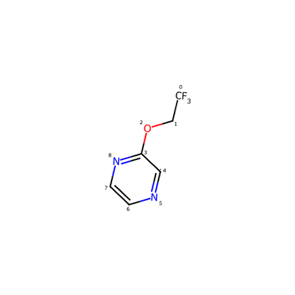 FC(F)(F)COc1[c]nccn1